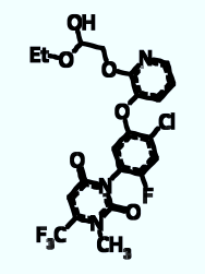 CCOC(O)COc1ncccc1Oc1cc(-n2c(=O)cc(C(F)(F)F)n(C)c2=O)c(F)cc1Cl